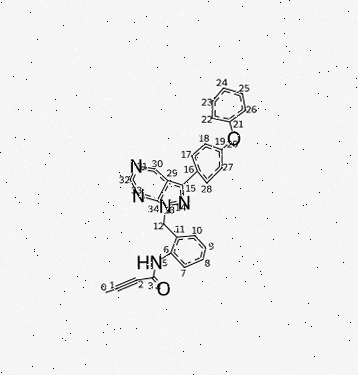 CC#CC(=O)Nc1ccccc1Cn1nc(-c2ccc(Oc3ccccc3)cc2)c2cncnc21